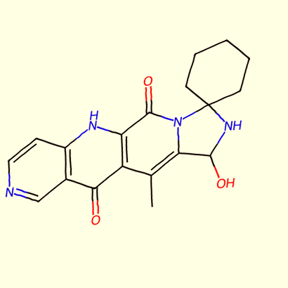 Cc1c2n(c(=O)c3[nH]c4ccncc4c(=O)c13)C1(CCCCC1)NC2O